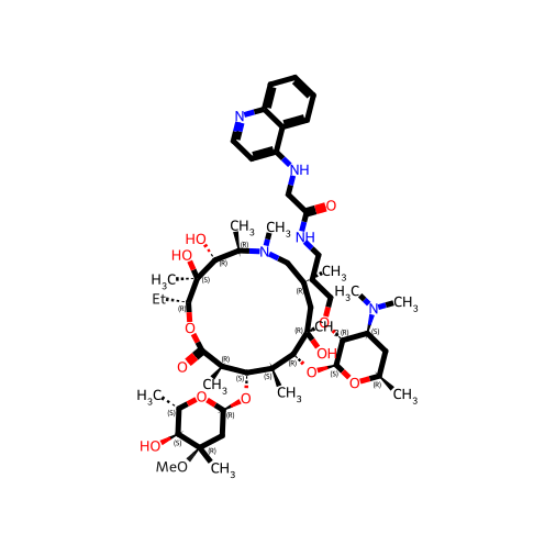 CC[C@H]1OC(=O)[C@H](C)[C@@H](O[C@H]2C[C@@](C)(OC)[C@@H](O)[C@H](C)O2)[C@H](C)[C@@H](O[C@@H]2O[C@H](C)C[C@H](N(C)C)[C@H]2OCCCNC(=O)CNc2ccnc3ccccc23)[C@](C)(O)C[C@@H](C)CN(C)[C@H](C)[C@@H](O)[C@]1(C)O